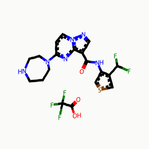 O=C(Nc1cscc1C(F)F)c1cnn2ccc(N3CCCNCC3)nc12.O=C(O)C(F)(F)F